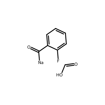 O=CO.O=[C]([Na])c1ccccc1F